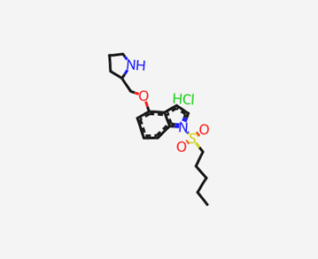 CCCCCS(=O)(=O)n1ccc2c(OCC3CCCN3)cccc21.Cl